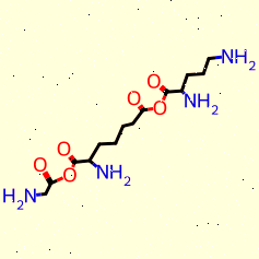 NCCCC(N)C(=O)OC(=O)CCCCC(N)C(=O)OC(=O)CN